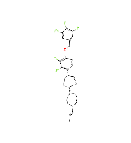 C/C=C/C1CCC(C2CCC(c3ccc(OCc4cc(F)c(F)c(F)c4)c(F)c3F)CC2)CC1